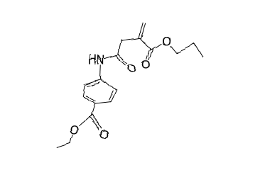 C=C(CC(=O)Nc1ccc(C(=O)OCC)cc1)C(=O)OCCC